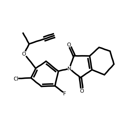 C#CC(C)Oc1cc(N2C(=O)C3=C(CCCC3)C2=O)c(F)cc1Cl